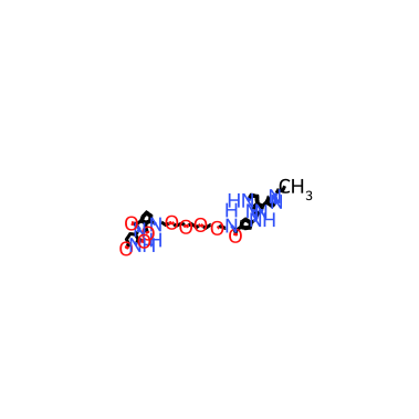 CCCn1cc(-c2nc(Nc3ccc(C(=O)NCCOCCOCCOCCOCCNc4cccc5c4C(=O)N(C4CCC(=O)NC4=O)C5=O)cc3)nc3[nH]ccc23)cn1